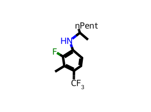 CCCCCC(C)Nc1ccc(C(F)(F)F)c(C)c1F